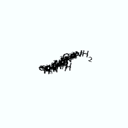 COc1ccc(-c2cnc3c(Nc4ccc(C(=O)N[C@H]5CC[C@H](N)C5)c(C)c4)nccn23)c(F)c1F